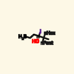 BCC[C@@](O)(I)C(C)(CCCCC)CCCCCC